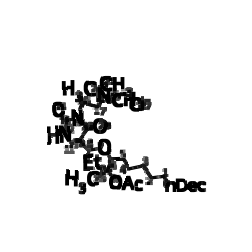 CCCCCCCCCCCCCCCC(OC(CC)c1c[nH]c(=O)n(CC[N+](C)(C)C)c1=O)C(C)OC(C)=O.[Cl-]